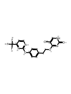 O=c1nc(OCCc2ccc(Oc3nccc(C(F)(F)F)n3)cc2)c(Cl)c[nH]1